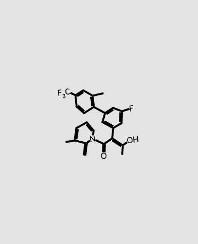 C=C1C(C)=CC=CN1C(=O)/C(=C(\C)O)c1cc(F)cc(-c2ccc(C(F)(F)F)cc2C)c1